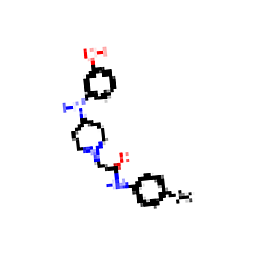 CC(=O)c1ccc(NC(=O)CN2CCC(Nc3cccc(O)c3)CC2)cc1